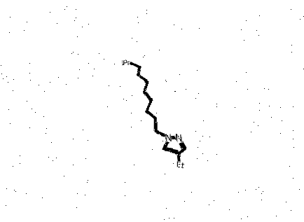 CCc1cnn(CCCCCCCCC(C)C)c1